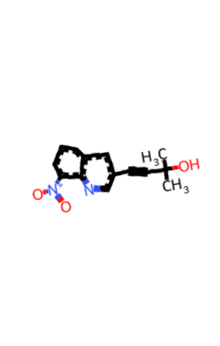 CC(C)(O)C#Cc1cnc2c([N+](=O)[O-])cccc2c1